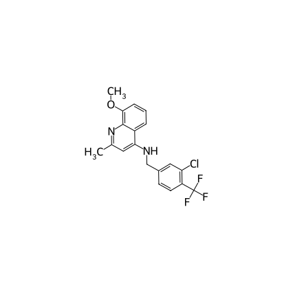 COc1cccc2c(NCc3ccc(C(F)(F)F)c(Cl)c3)cc(C)nc12